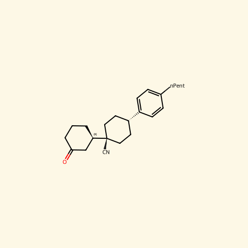 CCCCCc1ccc([C@H]2CC[C@@](C#N)([C@@H]3CCCC(=O)C3)CC2)cc1